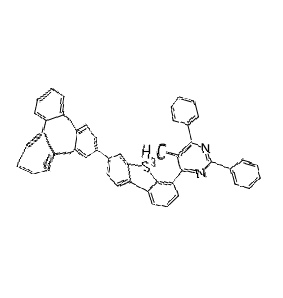 Cc1c(-c2ccccc2)nc(-c2ccccc2)nc1-c1cccc2c1sc1cc(-c3ccc4c5ccccc5c5ccccc5c4c3)ccc12